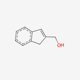 OCC1=Cc2ccccc2C1